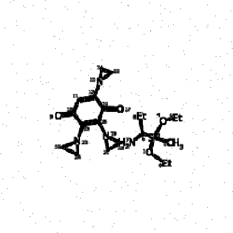 CCO[Si](C)(OCC)C(N)CC.O=C1C=C(N2CC2)C(=O)C(N2CC2)=C1N1CC1